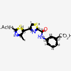 CC(=O)Nc1nc(C)c(-c2csc(C(=O)Nc3cccc(C(=O)O)c3)n2)s1